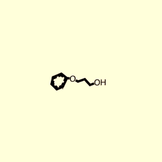 OCCCOc1[c]cccc1